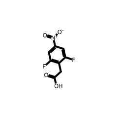 O=C(O)Cc1c(F)cc([N+](=O)[O-])cc1F